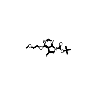 COCCOc1ncnc2c1c(I)cn2C(=O)OC(C)(C)C